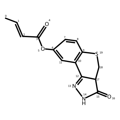 C/C=C/C(=O)Oc1ccc2c(c1)C1=NNC(=O)C1CS2